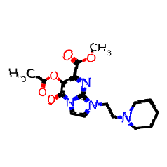 COC(=O)c1nc2n(CCN3CCCCC3)ccn2c(=O)c1OC(C)=O